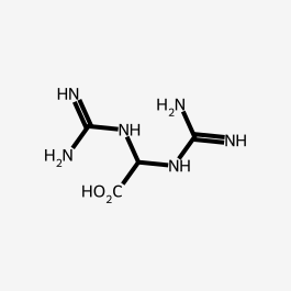 N=C(N)NC(NC(=N)N)C(=O)O